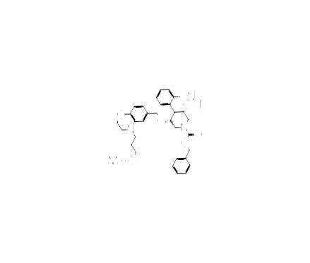 COCCCN1CCOc2ccc(CO[C@H]3CN(C(=O)OCc4ccccc4)CC(O)C3c3ccccc3C#N)cc21